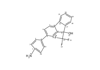 Nc1ccc(-c2ccc3c(c2)C(O)(C(F)(F)F)c2ccccc2-3)cc1